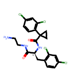 NCCNC(=O)[C@H](Cc1ccc(Cl)cc1Cl)NC(=O)C1(c2ccc(Cl)cc2Cl)CC1